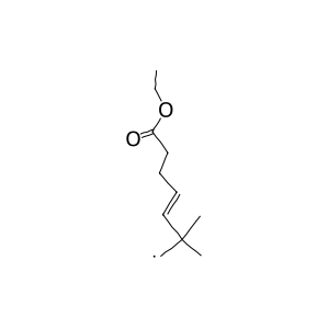 [CH2]C(C)(C)/C=C/CCC(=O)OCC